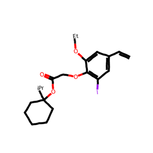 C=Cc1cc(I)c(OCC(=O)OC2(C(C)C)CCCCC2)c(OCC)c1